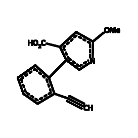 C#Cc1ccccc1-c1cnc(OC)cc1C(=O)O